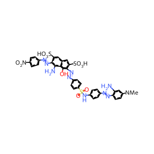 CNc1ccc(/N=N/c2ccc(NS(=O)(=O)c3ccc(/N=N/c4c(S(=O)(=O)O)cc5cc(S(=O)(=O)O)c(/N=N/c6ccc([N+](=O)[O-])cc6)c(N)c5c4O)cc3)cc2)c(N)c1